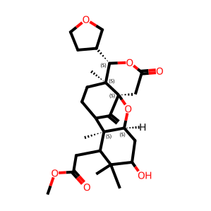 C=C1C2CC[C@@]3(C)[C@H](C4CCOC4)OC(=O)C[C@]13O[C@H]1CC(O)C(C)(C)C(CC(=O)OC)[C@@]21C